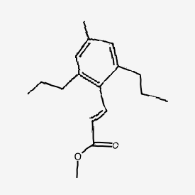 CCCc1cc(C)cc(CCC)c1/C=C/C(=O)OC